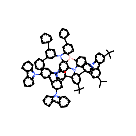 CC(C)c1ccc2c(c1)c1cc(C(C)(C)C)ccc1n2-c1ccc2c(c1)N(c1c(-c3ccccc3)cc(C(C)(C)C)cc1-c1ccccc1)c1cc(-n3c4ccc(-n5c6ccccc6c6ccccc65)cc4c4cc(-n5c6ccccc6c6ccccc65)ccc43)cc3c1B2c1ccc(-c2ccccc2)cc1N3c1cc(-c2ccccc2)cc(-c2ccccc2)c1